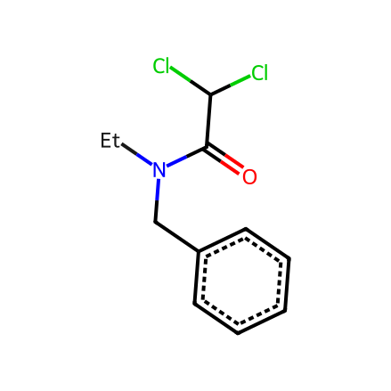 CCN(Cc1ccccc1)C(=O)C(Cl)Cl